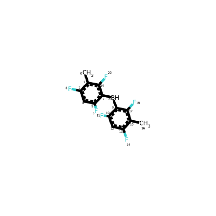 Cc1c(F)cc(F)c(Bc2c(F)cc(F)c(C)c2F)c1F